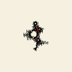 CC[C@H]1OC(=O)[C@H](C)[C@@H](O[C@H]2C[C@@](C)(OC)[C@](O)(CNCCC3CC3)[C@H](C)O2)[C@H](C)[C@@H](O[C@@H]2O[C@H](C)C[C@H](N(C)C(=O)N(C)c3ccccc3)[C@H]2O)[C@](C)(O)C[C@@H](C)CN[C@H](C)[C@@H](O)[C@]1(C)O